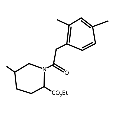 CCOC(=O)C1CCC(C)CN1C(=O)Cc1ccc(C)cc1C